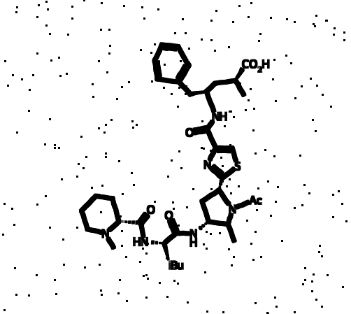 CC[C@H](C)[C@H](NC(=O)[C@H]1CCCCN1C)C(=O)N[C@@H]1C[C@H](c2nc(C(=O)N[C@@H](Cc3ccccc3)C[C@H](C)C(=O)O)cs2)N(C(C)=O)C1C